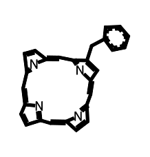 C1=CC2=NC1=CC1=NC(=CC3=NC(=CC4=NC(=C2)C=C4)C=C3Cc2ccccc2)C=C1